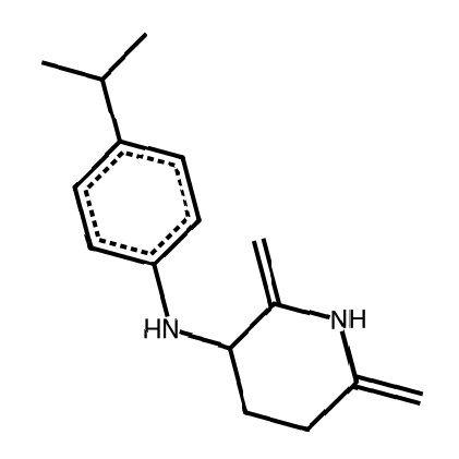 C=C1CCC(Nc2ccc(C(C)C)cc2)C(=C)N1